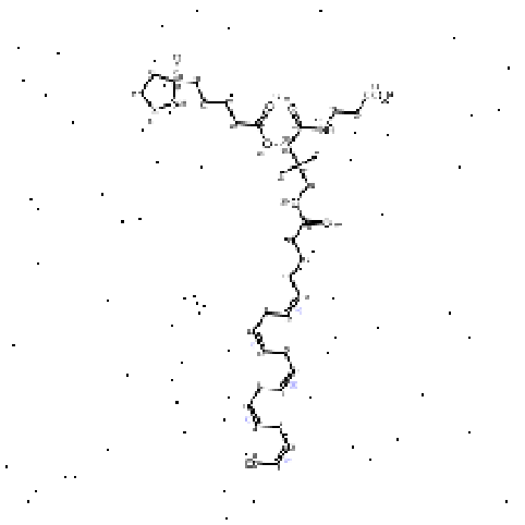 CC/C=C\C/C=C\C/C=C\C/C=C\C/C=C\CCCC(=O)OCC(C)(C)[C@H](OC(=O)CCCC[C@]1(C)CCSS1)C(=O)NCCC(=O)O